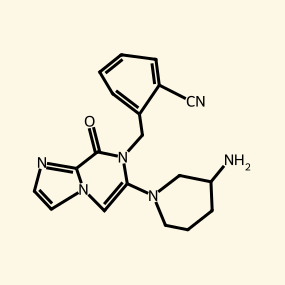 N#Cc1ccccc1Cn1c(N2CCCC(N)C2)cn2ccnc2c1=O